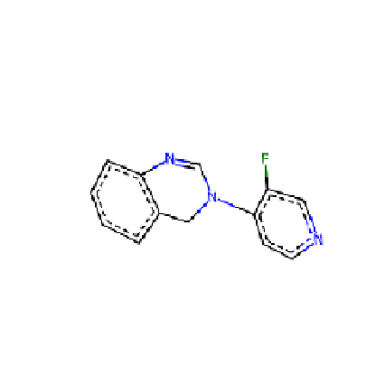 Fc1cnccc1N1C=Nc2ccccc2C1